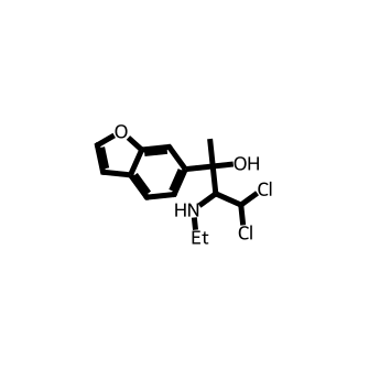 CCNC(C(Cl)Cl)C(C)(O)c1ccc2ccoc2c1